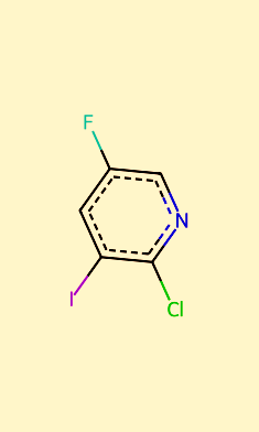 Fc1cnc(Cl)c(I)c1